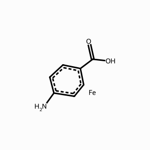 Nc1ccc(C(=O)O)cc1.[Fe]